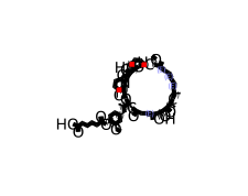 CO[C@H]1C[C@@H]2CC[C@@H](C)[C@@](O)(O2)C(=O)C(=O)N2CCCC[C@H]2C(=O)O[C@H]([C@H](C)C[C@@H]2CC[C@@H](OC(=O)CCCCC(=O)O)[C@H](OC)C2)CC(=O)C/C=C(\C)[C@@H](O)[C@@H](OC)C(=O)[C@H](C)C[C@H](C)/C=C/C=C/C=C/1C